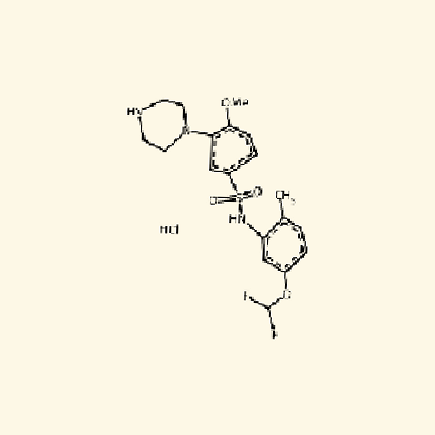 COc1ccc(S(=O)(=O)Nc2cc(OC(F)F)ccc2C)cc1N1CCNCC1.Cl